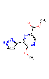 COC(=O)c1cnc(OC)c(-c2cc[nH]n2)n1